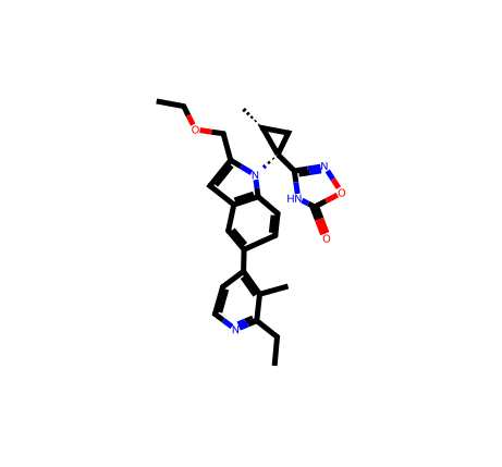 CCOCc1cc2cc(-c3ccnc(CC)c3C)ccc2n1[C@@]1(c2noc(=O)[nH]2)C[C@H]1C